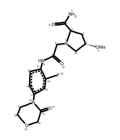 CO[C@H]1[CH]C(C(N)=O)N(CC(=O)Nc2ccc(N3CCOCC3=O)cc2F)C1